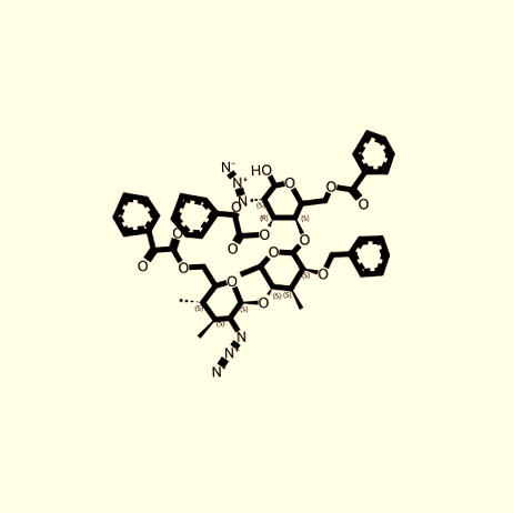 CC1OC(O[C@@H]2C(COC(=O)c3ccccc3)OC(O)[C@@H](N=[N+]=[N-])[C@H]2OC(=O)C(=O)c2ccccc2)[C@@H](OCc2ccccc2)[C@@H](C)[C@@H]1O[C@@H]1OC(COC(=O)C(=O)c2ccccc2)[C@@H](C)[C@H](C)C1N=[N+]=[N-]